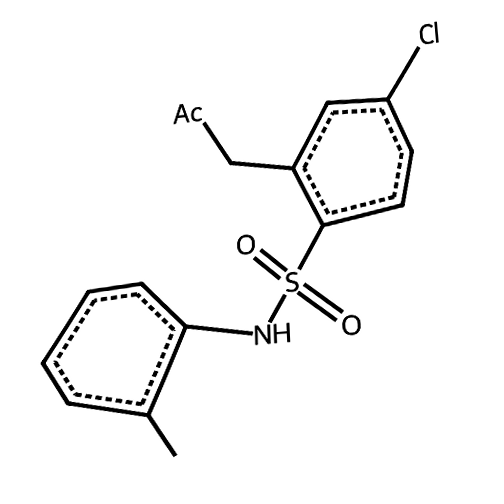 CC(=O)Cc1cc(Cl)ccc1S(=O)(=O)Nc1ccccc1C